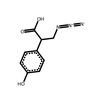 [N-]=[N+]=NCC(C(=O)O)c1ccc(O)cc1